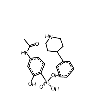 CC(=O)Nc1ccc([As](=O)(O)O)c(O)c1.c1ccc(C2CCNCC2)cc1